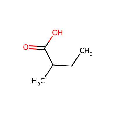 [CH2]C(CC)C(=O)O